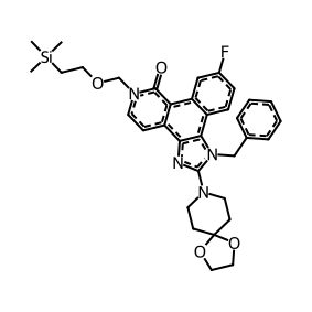 C[Si](C)(C)CCOCn1ccc2c3nc(N4CCC5(CC4)OCCO5)n(Cc4ccccc4)c3c3ccc(F)cc3c2c1=O